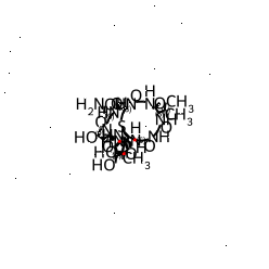 CC[C@H](C)[C@@H]1NC(=O)CNC(=O)[C@@H]2Cc3c([nH]c4ccccc34)SCC[C@H](NC(=O)CNC1=O)C(=O)N[C@@H](CC(N)=O)C(=O)N1C[C@H](O)C[C@H]1C(=O)N[C@@H]([C@@H](C)[C@@H](O)CO)C(=O)N2